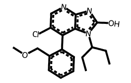 CCC(CC)n1c(O)nc2ncc(Cl)c(-c3ccccc3COC)c21